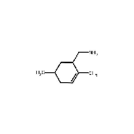 CC1=CCC(C)CC1CN